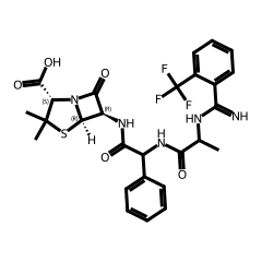 CC(NC(=N)c1ccccc1C(F)(F)F)C(=O)NC(C(=O)N[C@@H]1C(=O)N2[C@@H]1SC(C)(C)[C@@H]2C(=O)O)c1ccccc1